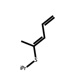 C=C/C=C(\C)SC(C)C